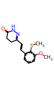 COc1cccc(C=CC2=NNC(=O)CC2)c1SC